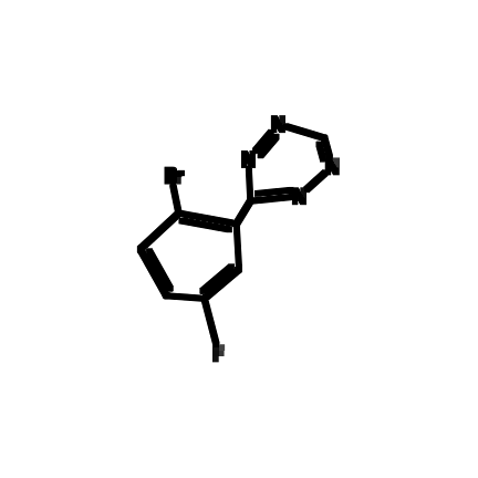 Fc1ccc(Br)c(-c2nncnn2)c1